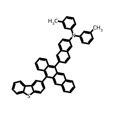 Cc1cccc(N(c2cccc(C)c2)c2ccc3cc(-c4c5ccccc5c(-c5ccc6sc7ccccc7c6c5)c5cc6ccccc6cc45)ccc3c2)c1